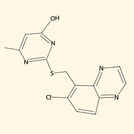 Cc1cc(O)nc(SCc2c(Cl)ccc3nccnc23)n1